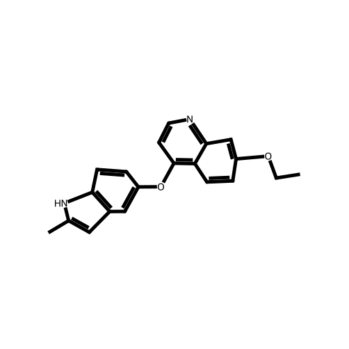 CCOc1ccc2c(Oc3ccc4[nH]c(C)cc4c3)ccnc2c1